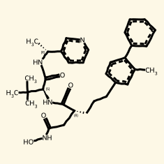 Cc1cc(CCC[C@H](CC(=O)NO)C(=O)N[C@H](C(=O)N[C@H](C)c2cccnc2)C(C)(C)C)ccc1-c1ccccc1